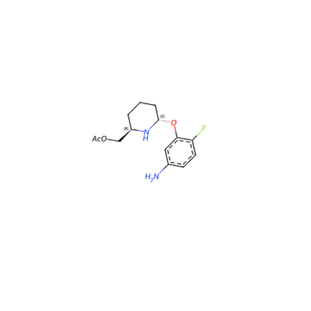 CC(=O)OC[C@H]1CCC[C@H](Oc2cc(N)ccc2F)N1